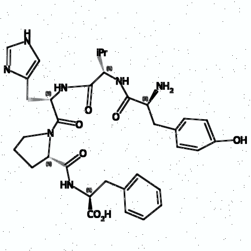 CC(C)[C@H](NC(=O)[C@@H](N)Cc1ccc(O)cc1)C(=O)N[C@@H](Cc1c[nH]cn1)C(=O)N1CCC[C@H]1C(=O)N[C@@H](Cc1ccccc1)C(=O)O